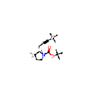 C[C@H]1CCN(C(=O)OC(C)(C)C)[C@@H]1CC#C[Si](C)(C)C